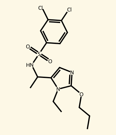 CCCOc1ncc(C(C)NS(=O)(=O)c2ccc(Cl)c(Cl)c2)n1CC